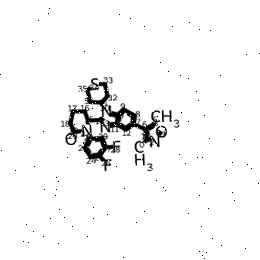 Cc1noc(C)c1-c1ccc2c(c1)nc(C1CCCC(=O)N1c1ccc(F)c(F)c1)n2C1CCSCC1